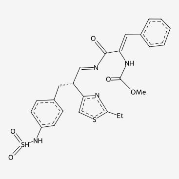 CCc1nc([C@@H](/C=N/C(=O)/C(=C/c2ccccc2)NC(=O)OC)Cc2ccc(N[SH](=O)=O)cc2)cs1